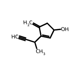 C#CC(C)C1=CC(O)CC1=C